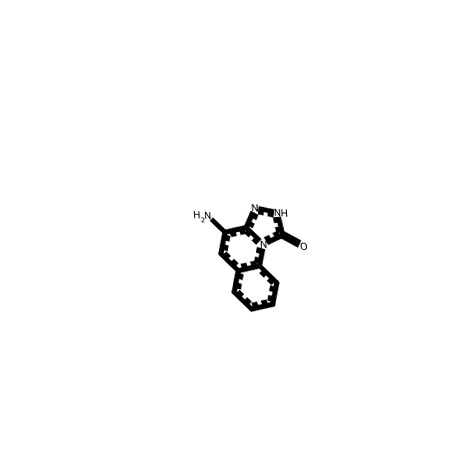 Nc1cc2ccccc2n2c(=O)[nH]nc12